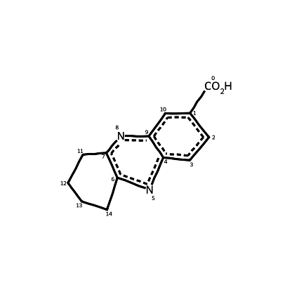 O=C(O)c1ccc2nc3c(nc2c1)CCCC3